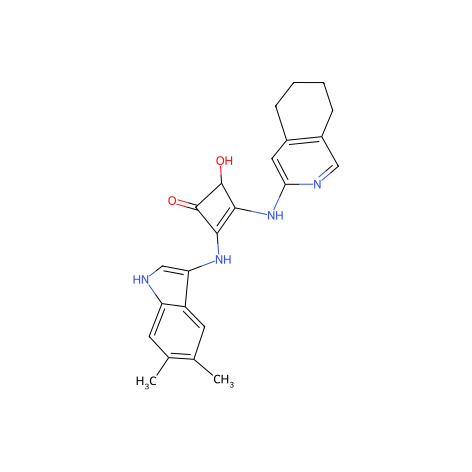 Cc1cc2[nH]cc(NC3=C(Nc4cc5c(cn4)CCCC5)C(O)C3=O)c2cc1C